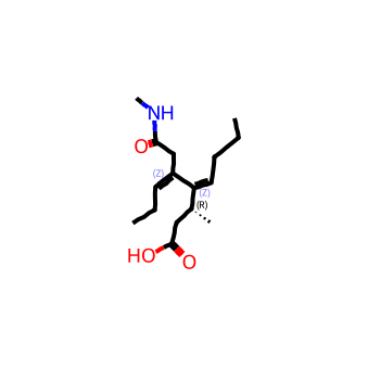 CC/C=C(CC(=O)NC)\C(=C/CCC)[C@H](C)CC(=O)O